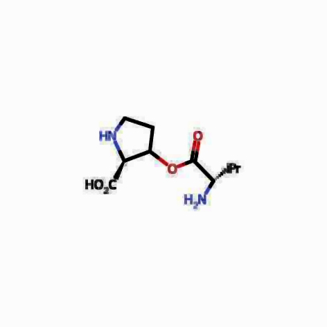 CC(C)[C@H](N)C(=O)OC1CCN[C@@H]1C(=O)O